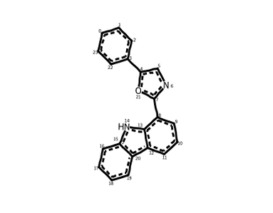 c1ccc(-c2cnc(-c3cccc4c3[nH]c3ccccc34)o2)cc1